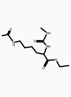 CCOC(=O)C(CCCCNC(C)=O)NC(=O)NC